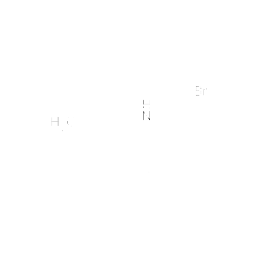 C=Cc1ccc(Br)[nH]1